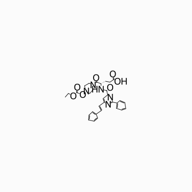 CCOC(=O)ON1CCN(C(=O)[C@H](CCC(=O)O)NC(=O)c2cc(/C=C/c3ccccc3)nc(-c3ccccc3)n2)CC1